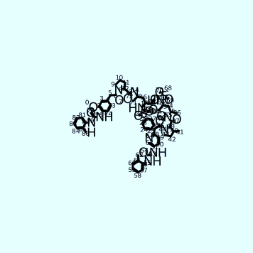 COc1cc(CC(=O)N2CCCC2C2=NC(CC(NS(=O)(=O)c3ccccc3)C(=O)OC(=O)C(CC3COC(C4C(C)CCN4C(=O)Cc4ccc(NC(=O)Nc5ccccc5C)cn4)=N3)NS(C)(=O)=O)CO2)ccc1NC(=O)Nc1ccccc1C